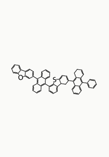 C1=Cc2c(c(C3=CC=C4Sc5c(-c6c7ccccc7c(-c7ccc8c(c7)oc7ccccc78)c7ccccc67)cccc5C4C3)c3ccccc3c2-c2ccccc2)CC1